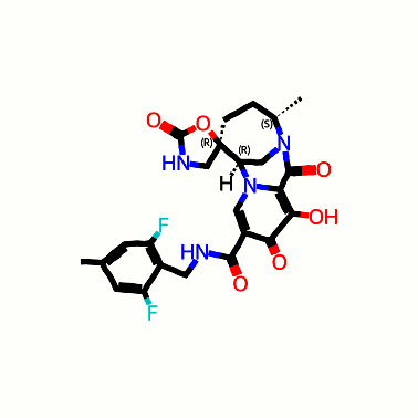 Cc1cc(F)c(CNC(=O)c2cn3c(c(O)c2=O)C(=O)N2C[C@@H]3[C@@]3(CC[C@@H]2C)CNC(=O)O3)c(F)c1